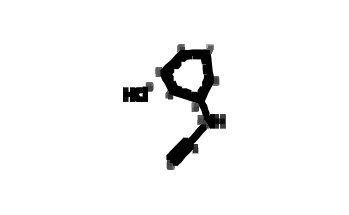 C#CNc1ccccc1.Cl